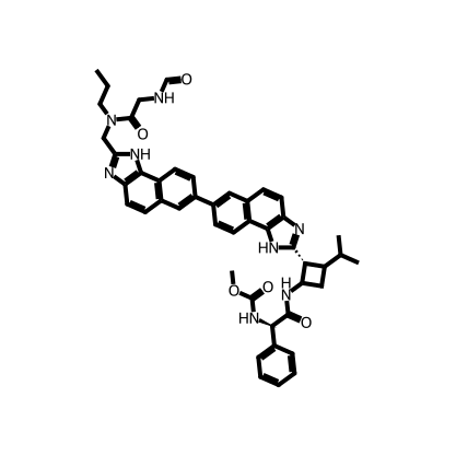 CCCN(Cc1nc2ccc3cc(-c4ccc5c(ccc6nc([C@H]7C(NC(=O)[C@H](NC(=O)OC)c8ccccc8)CC7C(C)C)[nH]c65)c4)ccc3c2[nH]1)C(=O)CNC=O